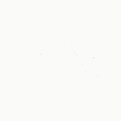 O=C(Nc1cc(F)cc(C(F)(F)F)c1)c1csc2c1CCN(Cc1cnc3[nH]ccc3c1)C2